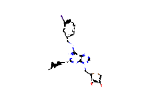 CC#Cc1nc(NCc2cccc(I)c2)c2ncn(CC3SCC(O)C3O)c2n1